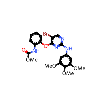 COC(=O)Nc1ccccc1Oc1nc(Nc2cc(OC)c(OC)c(OC)c2)ncc1Br